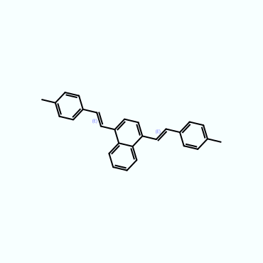 Cc1ccc(/C=C/c2ccc(/C=C/c3ccc(C)cc3)c3ccccc23)cc1